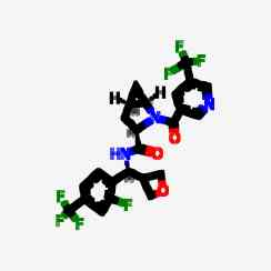 O=C(N[C@@H](c1ccc(C(F)(F)F)cc1F)C1COC1)[C@H]1C[C@H]2C[C@H]2N1C(=O)c1cncc(C(F)(F)F)c1